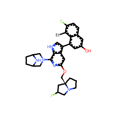 CCc1c(F)ccc2cc(O)cc(-c3c[nH]c4c(N5CC6CCC(C5)N6)nc(OC[C@@]56CCCN5CC(F)C6)cc34)c12